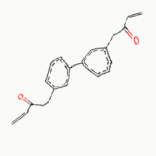 C=CC(=O)Cc1cccc(-c2cccc(CC(=O)C=C)c2)c1